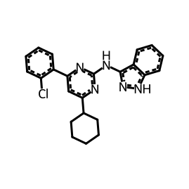 Clc1ccccc1-c1cc(C2CCCCC2)nc(Nc2n[nH]c3ccccc23)n1